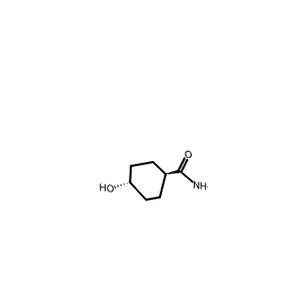 [NH]C(=O)[C@H]1CC[C@H](O)CC1